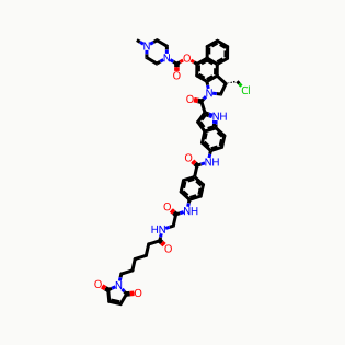 CN1CCN(C(=O)Oc2cc3c(c4ccccc24)[C@H](CCl)CN3C(=O)c2cc3cc(NC(=O)c4ccc(NC(=O)CNC(=O)CCCCCN5C(=O)C=CC5=O)cc4)ccc3[nH]2)CC1